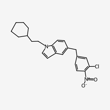 O=[N+]([O-])c1ccc(Cc2ccc3c(ccn3CCC3CCCCC3)c2)cc1Cl